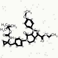 CCOC(=O)C1=NN(c2ccc(OC)cc2)C2C(=O)N(c3ccc(CC4(NC(=O)OC(C)(C)C)CC4)cc3)CCC12